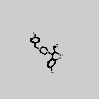 NC(C=O)C(c1ccc(Cl)cc1Cl)N1CCN(Cc2ccc(F)cc2)CC1